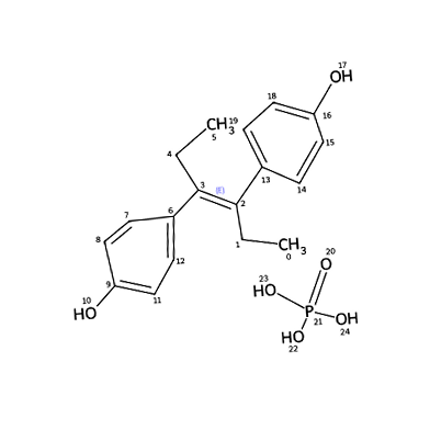 CC/C(=C(/CC)c1ccc(O)cc1)c1ccc(O)cc1.O=P(O)(O)O